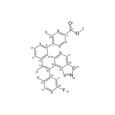 COC(=O)c1ccc(-c2cccc(/C(C)=C(/c3cc(F)ccc3C)c3cccc4oncc34)c2)c(C)c1